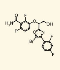 NC(=O)c1c(F)ccc(O[C@@H](CO)c2nc(-c3ccc(F)cc3F)c(Br)o2)c1F